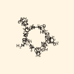 Cc1sc2nc1C(=O)N[C@@H]([C@H](O)c1ccccc1)c1nc(cs1)C(=O)N[C@@H](Cc1ccc(O)cc1)C(=O)N[C@@H]([C@@H](C)[C@@H]1CO1)c1nc(cs1)-c1nc(cs1)-c1nc(-c3nc(C(N)=O)cs3)ccc1-c1nc(cs1)C(=O)N[C@H]2CC(N)=O